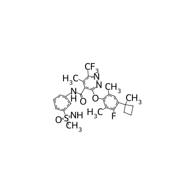 Cc1cc(C2(C)CCC2)c(F)c(C)c1Oc1nnc(C(F)(F)F)c(C)c1C(=O)Nc1cccc(S(C)(=N)=O)c1